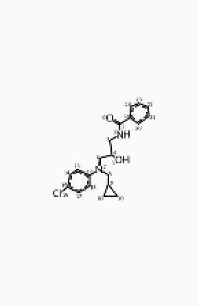 O=C(NCC(O)CN(CC1CC1)c1ccc(Cl)cc1)c1ccccc1